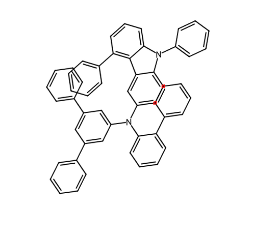 c1ccc(-c2cc(-c3ccccc3)cc(N(c3ccc4c(c3)c3c(-c5ccccc5)cccc3n4-c3ccccc3)c3ccccc3-c3ccccc3)c2)cc1